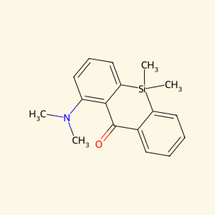 CN(C)c1cccc2c1C(=O)c1ccccc1[Si]2(C)C